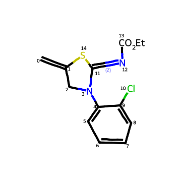 C=C1CN(c2ccccc2Cl)/C(=N/C(=O)OCC)S1